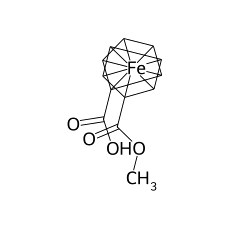 COC(=O)[C]12[CH]3[CH]4[CH]5[CH]1[Fe]45321678[CH]2[CH]1[CH]6[C]7(C(=O)O)[CH]28